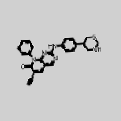 C#Cc1cc2cnc(Nc3ccc(C4CNCSC4)cc3)nc2n(-c2ccccc2)c1=O